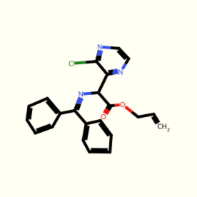 C=CCOC(=O)C(N=C(c1ccccc1)c1ccccc1)c1nccnc1Cl